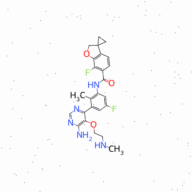 CNCCOc1c(N)ncnc1-c1cc(F)cc(NC(=O)c2ccc3c(c2F)OCC32CC2)c1C